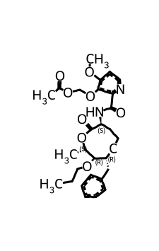 CCCO[C@@H]1[C@@H](Cc2ccccc2)CCC[C@H](NC(=O)c2nccc(OC)c2OCOC(C)=O)C(=O)O[C@H]1C